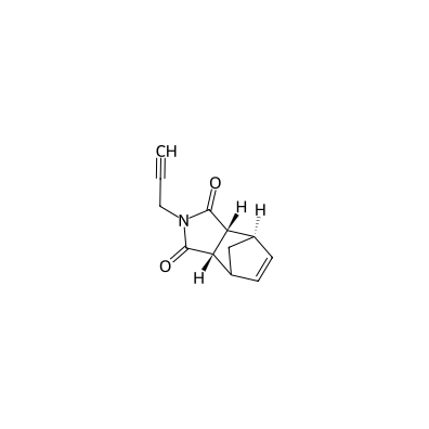 C#CCN1C(=O)[C@@H]2[C@H]3C=CC(C3)[C@@H]2C1=O